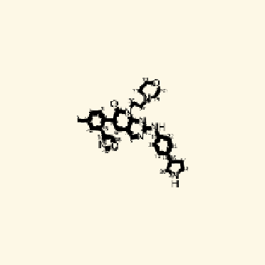 Cc1ccc(-c2cc3cnc(Nc4ccc(C5CCNC5)cc4)nc3n(CCN3CCOCC3)c2=O)c(-c2cocn2)c1